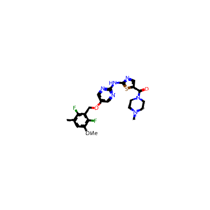 COc1cc(C)c(F)c(COc2cnc(Nc3ncc(C(=O)N4CCN(C)CC4)s3)nc2)c1F